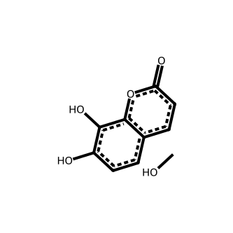 CO.O=c1ccc2ccc(O)c(O)c2o1